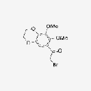 COc1c(C(=O)CBr)cc2c(c1OC)OCCO2